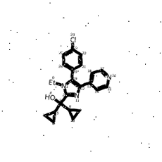 CCn1c(C(O)(C2CC2)C2CC2)nc(-c2ccncc2)c1-c1ccc(Cl)cc1